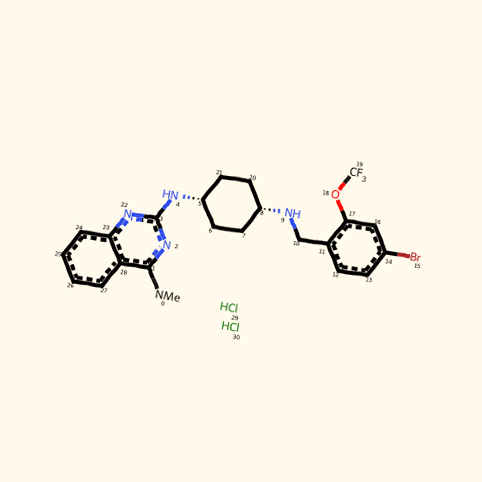 CNc1nc(N[C@H]2CC[C@@H](NCc3ccc(Br)cc3OC(F)(F)F)CC2)nc2ccccc12.Cl.Cl